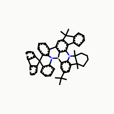 CC(C)(C)c1cc2c3c(c1)C1(C)CCCCC1(C)N3c1c3c(cc4c1-c1ccccc1C4(C)C)-c1cccc4c1N(B23)c1ccccc1C41c2ccccc2-c2ccccc21